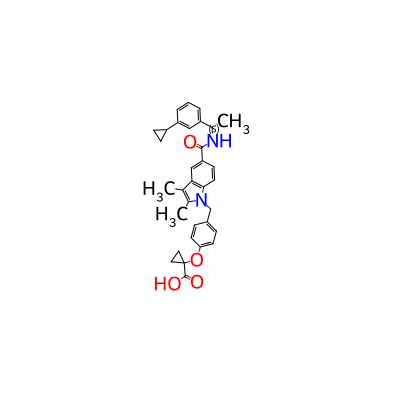 Cc1c(C)n(Cc2ccc(OC3(C(=O)O)CC3)cc2)c2ccc(C(=O)N[C@@H](C)c3cccc(C4CC4)c3)cc12